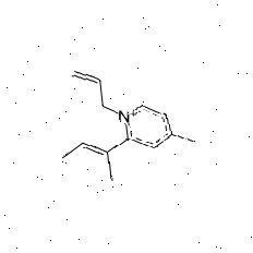 C=CC[n+]1ccc(C)cc1/C(C)=C/C